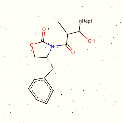 CCCCCCCC(O)C(C)C(=O)N1C(=O)OC[C@H]1Cc1ccccc1